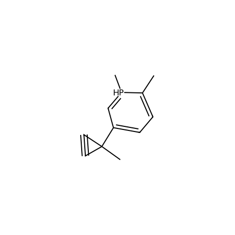 CC1=CC=C(C2(C)C#C2)C=[PH]1C